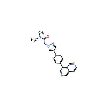 CN(C)C(=O)Cn1cc(-c2ccc(-c3cncc4ccncc34)cc2)cn1